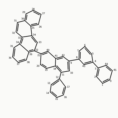 c1ccc(-c2cccc(-c3cc(-c4ccccc4)c4ccc(-c5cc6c7ccccc7ccc6c6ccccc56)cc4c3)c2)cc1